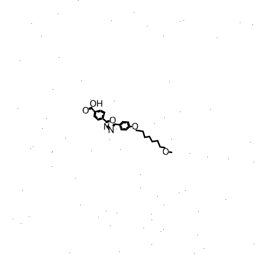 COCCCCCCCCOc1ccc(-c2nnc(-c3ccc(C(=O)O)cc3)o2)cc1